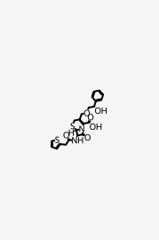 O=C(Cc1cccs1)N[C@@H]1C(=O)N2C(C(=O)O)=C(COCC(O)c3ccccc3)CS[C@@H]12